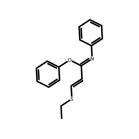 CCSC=CC(=Nc1ccccc1)Oc1ccccc1